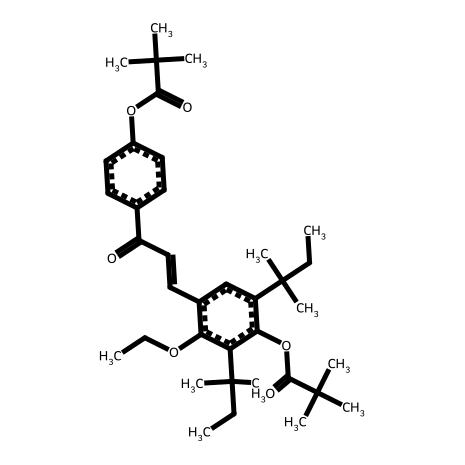 CCOc1c(C=CC(=O)c2ccc(OC(=O)C(C)(C)C)cc2)cc(C(C)(C)CC)c(OC(=O)C(C)(C)C)c1C(C)(C)CC